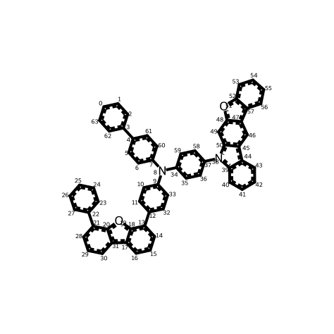 c1ccc(-c2ccc(N(c3ccc(-c4cccc5c4oc4c(-c6ccccc6)cccc45)cc3)c3ccc(-n4c5ccccc5c5cc6c(cc54)oc4ccccc46)cc3)cc2)cc1